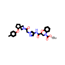 Cc1ccc(OC2CCCC23CN(C(=O)Cn2cc(NC(=O)C4CN(C(=O)OC(C)(C)C)c5ccccc5O4)cn2)C3)cc1